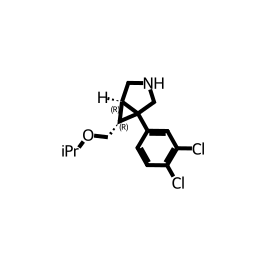 CC(C)OC[C@@H]1[C@H]2CNCC21c1ccc(Cl)c(Cl)c1